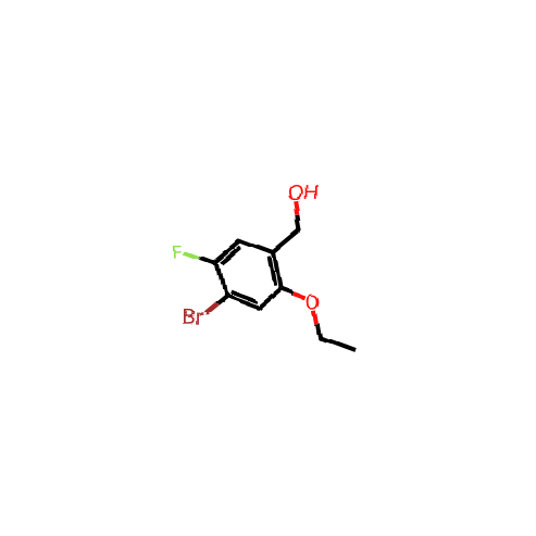 CCOc1cc(Br)c(F)cc1CO